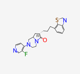 O=C1[C@@H](CCCc2cccc3ncsc23)CC2CN(c3ccncc3F)CCN12